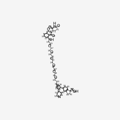 O=C1CCC(N2C(=O)c3cccc(NCCOCCOCCOCCOCCOCCOCCCn4cc(-c5ccc6c(c5)CC/C6=N\O)c(-c5ccncc5)n4)c3C2=O)C(=O)N1